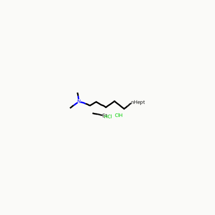 CCC.CCCCCCCCCCCCN(C)C.Cl.Cl